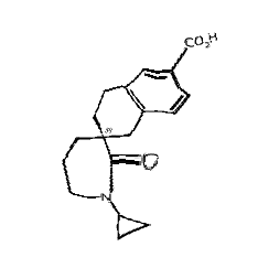 O=C(O)c1ccc2c(c1)CC[C@@]1(CCCN(C3CC3)C1=O)C2